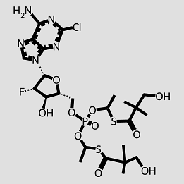 CC(OP(=O)(OC[C@H]1O[C@@H](n2cnc3c(N)nc(Cl)nc32)[C@@H](F)[C@@H]1O)OC(C)SC(=O)C(C)(C)CO)SC(=O)C(C)(C)CO